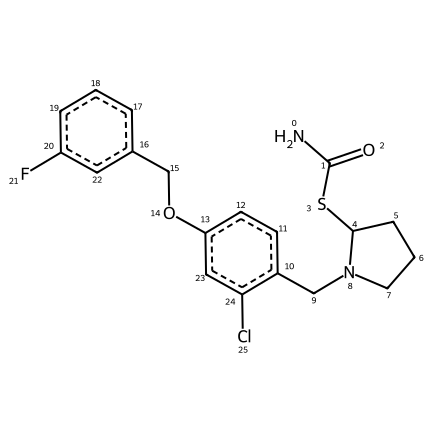 NC(=O)SC1CCCN1Cc1ccc(OCc2cccc(F)c2)cc1Cl